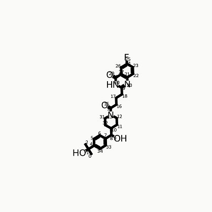 CC(C)(O)c1ccc(C(O)C2CCN(C(=O)CCCc3nc4ccc(F)cc4c(=O)[nH]3)CC2)cc1